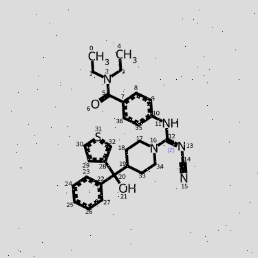 CCN(CC)C(=O)c1ccc(N/C(=N/C#N)N2CCC(C(O)(c3ccccc3)c3ccsc3)CC2)cc1